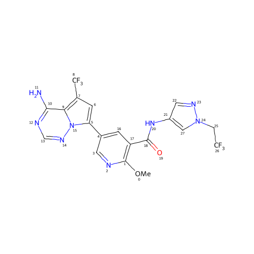 COc1ncc(-c2cc(C(F)(F)F)c3c(N)ncnn23)cc1C(=O)Nc1cnn(CC(F)(F)F)c1